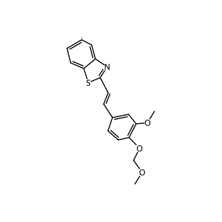 COCOc1ccc(C=Cc2nc3c[c]ccc3s2)cc1OC